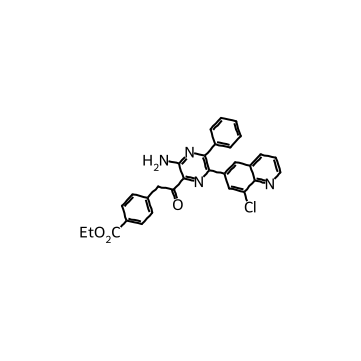 CCOC(=O)c1ccc(CC(=O)c2nc(-c3cc(Cl)c4ncccc4c3)c(-c3ccccc3)nc2N)cc1